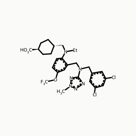 CCN(C[C@H]1CC[C@H](C(=O)O)CC1)c1ccc(OC(F)(F)F)cc1CN(Cc1cc(Cl)cc(Cl)c1)c1nnn(C)n1